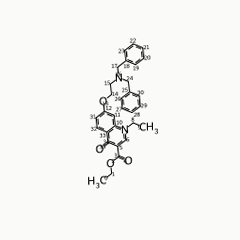 CCOC(=O)c1cn(CC)c2cc(OCCN(Cc3ccccc3)Cc3ccccc3)ccc2c1=O